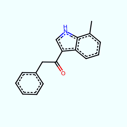 Cc1cccc2c(C(=O)Cc3ccccc3)c[nH]c12